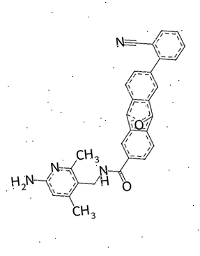 Cc1cc(N)nc(C)c1CNC(=O)c1ccc2c(c1)c1oc2c2cc(-c3ccccc3C#N)ccc21